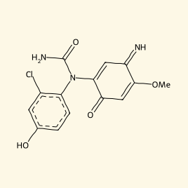 COC1=CC(=O)C(N(C(N)=O)c2ccc(O)cc2Cl)=CC1=N